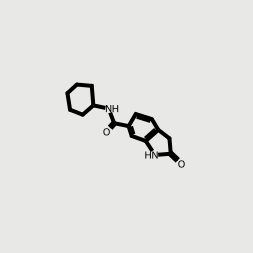 O=C1Cc2ccc(C(=O)NC3CCCCC3)cc2N1